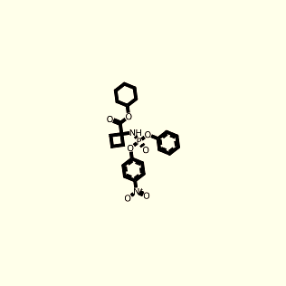 O=C(OC1CCCCC1)C1(NP(=O)(Oc2ccccc2)Oc2ccc([N+](=O)[O-])cc2)CCC1